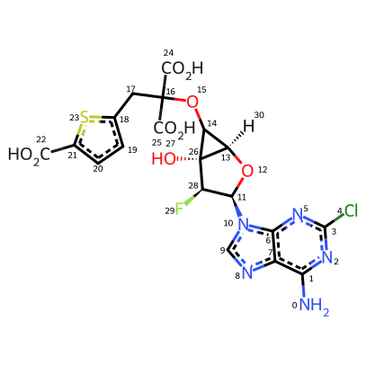 Nc1nc(Cl)nc2c1ncn2[C@@H]1O[C@@H]2C(OC(Cc3ccc(C(=O)O)s3)(C(=O)O)C(=O)O)[C@]2(O)[C@@H]1F